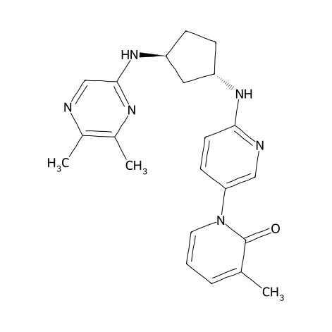 Cc1ncc(N[C@H]2CC[C@H](Nc3ccc(-n4cccc(C)c4=O)cn3)C2)nc1C